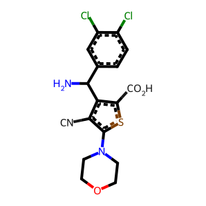 [C-]#[N+]c1c(N2CCOCC2)sc(C(=O)O)c1C(N)c1ccc(Cl)c(Cl)c1